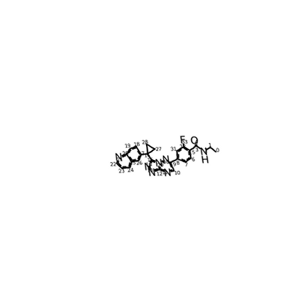 CCNC(=O)c1ccc(-c2cnc3nnc(C4(c5ccc6ncccc6c5)CC4)n3n2)cc1F